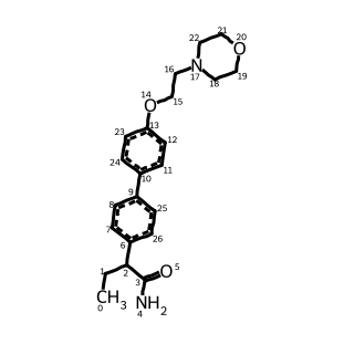 CCC(C(N)=O)c1ccc(-c2ccc(OCCN3CCOCC3)cc2)cc1